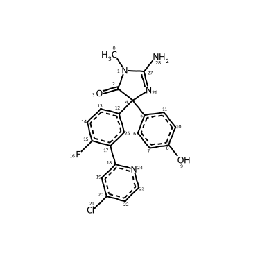 CN1C(=O)C(c2ccc(O)cc2)(c2ccc(F)c(-c3cc(Cl)ccn3)c2)N=C1N